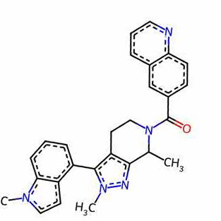 CC1c2nn(C)c(-c3cccc4c3ccn4C)c2CCN1C(=O)c1ccc2ncccc2c1